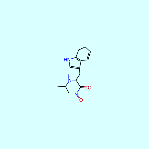 CC(C)NC(Cc1c[nH]c2c1C=CCC2)C(=O)N=O